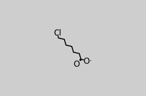 [O]C(=O)CCCCCCCl